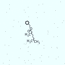 CC(C)=CCC/C(C)=C/C(=O)OCCc1ccccc1